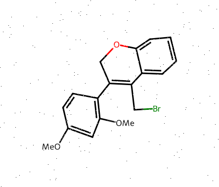 COc1ccc(C2=C(CBr)c3ccccc3OC2)c(OC)c1